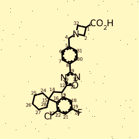 O=C(O)C1CN(Cc2ccc(-c3noc(CCC4(c5ccc(F)cc5Cl)CCCCC4)n3)cc2)C1